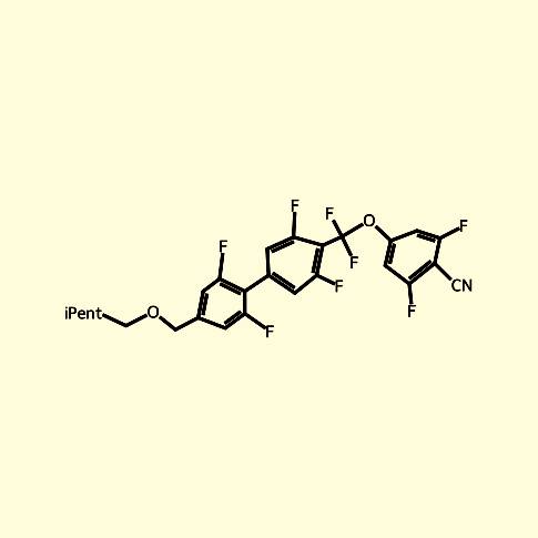 CCCC(C)COCc1cc(F)c(-c2cc(F)c(C(F)(F)Oc3cc(F)c(C#N)c(F)c3)c(F)c2)c(F)c1